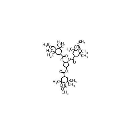 COCN1C(C)(C)CC(C(=O)OC2CC(OC(=O)C3CC(C)(C)N(COC)C(C)(C)C3)C(OC(=O)C3CC(C)(C)N(COC)C(C)(C)C3)C2)CC1(C)C